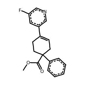 COC(=O)C1(c2ccccc2)CC=C(c2cncc(F)c2)CC1